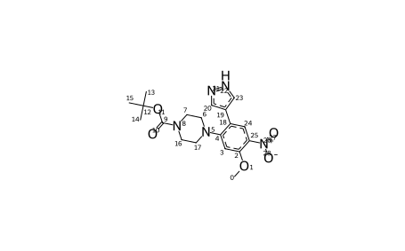 COc1cc(N2CCN(C(=O)OC(C)(C)C)CC2)c(-c2cn[nH]c2)cc1[N+](=O)[O-]